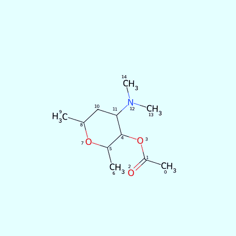 CC(=O)OC1C(C)OC(C)CC1N(C)C